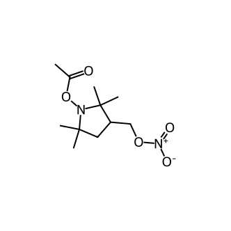 CC(=O)ON1C(C)(C)CC(CO[N+](=O)[O-])C1(C)C